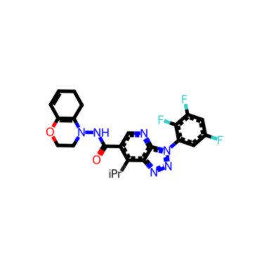 CC(C)c1c(C(=O)NN2CCOC3=C2CCC=C3)cnc2c1nnn2-c1cc(F)cc(F)c1F